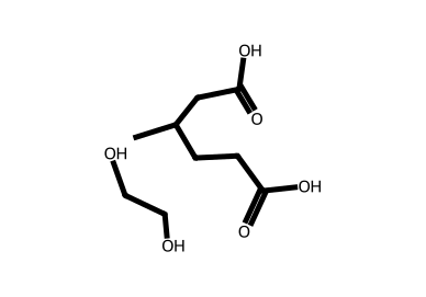 CC(CCC(=O)O)CC(=O)O.OCCO